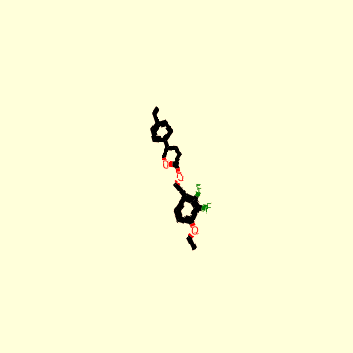 CCOc1ccc(COC2CCC(c3ccc(CC)cc3)CO2)c(F)c1F